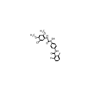 COc1cc(OC)c(NC(=O)N(S)c2ccc(NC(=O)c3c(F)cccc3F)cc2)cc1Cl